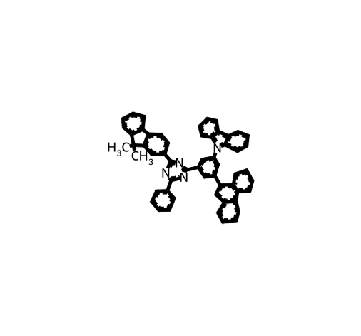 CC1(C)c2ccccc2-c2ccc(-c3nc(-c4ccccc4)nc(-c4cc(-c5cc6ccccc6c6ccccc56)cc(-n5c6ccccc6c6ccccc65)c4)n3)cc21